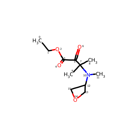 CCOC(=O)C(=O)C(C)(C)N(C)C1COC1